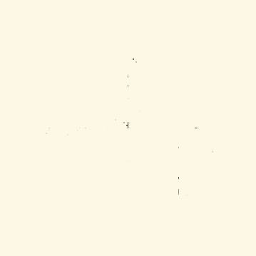 CCCS(=O)(=O)C1CCc2ccc(-c3c(C#N)c4ccc(OC)cc4n3CC)cc21